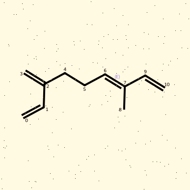 C=CC(=C)CC/C=C(\C)C=C